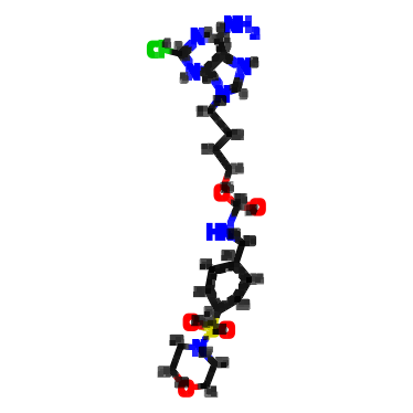 Nc1nc(Cl)nc2c1ncn2CCCCOC(=O)NCc1ccc(S(=O)(=O)N2CCOCC2)cc1